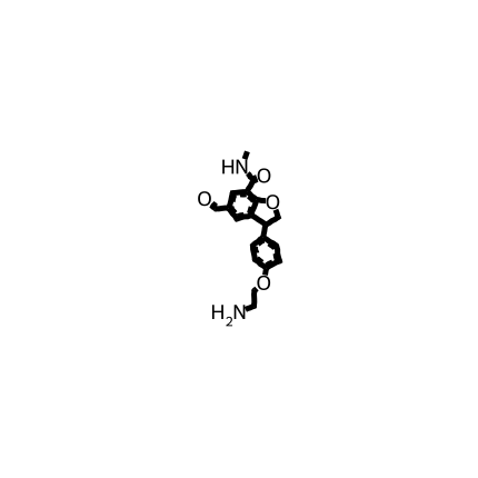 CNC(=O)c1cc(C=O)cc2c1OCC2c1ccc(OCCN)cc1